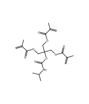 C=C(C)C(=O)OCC(COC(=O)C(=C)C)(COC(=O)C(=C)C)OC(=O)NC(C)C